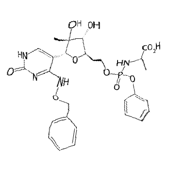 CC(NP(=O)(OC[C@H]1O[C@H](c2c[nH]c(=O)nc2NOCc2ccccc2)[C@](C)(O)[C@@H]1O)Oc1ccccc1)C(=O)O